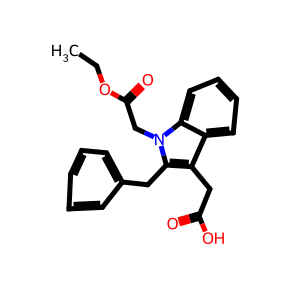 CCOC(=O)Cn1c(Cc2ccccc2)c(CC(=O)O)c2ccccc21